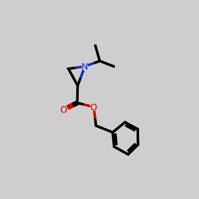 CC(C)N1CC1C(=O)OCc1ccccc1